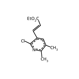 CCOC(=O)/C=C/c1cc(C)c(C)nc1Cl